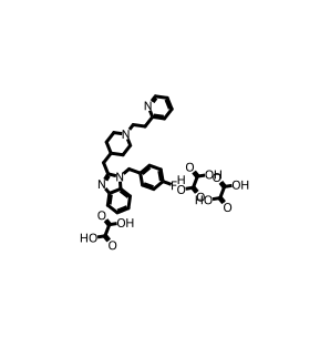 Fc1ccc(Cn2c(CC3CCN(CCc4ccccn4)CC3)nc3ccccc32)cc1.O=C(O)C(=O)O.O=C(O)C(=O)O.O=C(O)C(=O)O